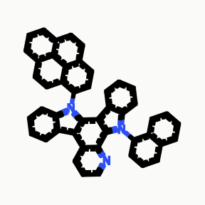 c1ccc2c(-n3c4ccccc4c4c3c3ncccc3c3c5ccccc5n(-c5ccc6ccc7cccc8ccc5c6c78)c34)cccc2c1